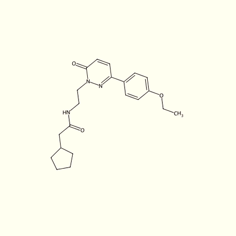 CCOc1ccc(-c2ccc(=O)n(CCNC(=O)CC3CCCC3)n2)cc1